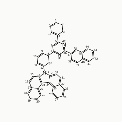 C1=CCCC(c2cc(C3C=CC=C(n4c5ccc6ccccc6c5c5c6ccccc6ccc54)C3)nc(-c3ccc4ccccc4c3)n2)=C1